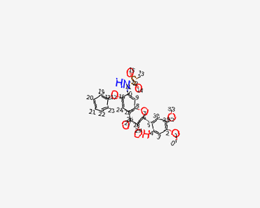 COc1ccc(-c2oc3cc(NS(C)(=O)=O)c(Oc4ccccc4)cc3c(=O)c2O)cc1OC